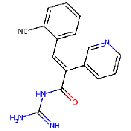 N#Cc1ccccc1/C=C(/C(=O)NC(=N)N)c1cccnc1